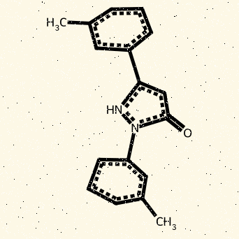 Cc1cccc(-c2cc(=O)n(-c3cccc(C)c3)[nH]2)c1